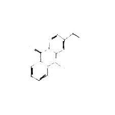 O=C1C2C=CC=CC2C(O)C2C=C(CCl)C=NC12